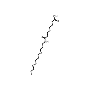 CC[CH]OCCCCOCCCNC(=O)CCCCCCC(=O)O